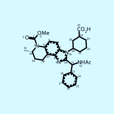 COC(=O)N1c2ccc3c(nc(C(NC(C)=O)c4ccccc4)n3C3CCCC(C(=O)O)C3)c2CC[C@@H]1C